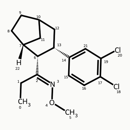 CCC(=NOC)[C@@H]1[C@@H]2CCC(C2)C[C@@H]1c1ccc(Cl)c(Cl)c1